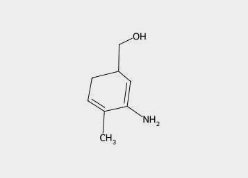 CC1=CCC(CO)C=C1N